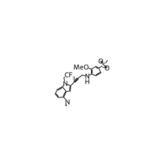 C=Nc1cccc2c1cc(C#CCNc1ccc(S(C)(=O)=O)cc1OC)n2CC(F)(F)F